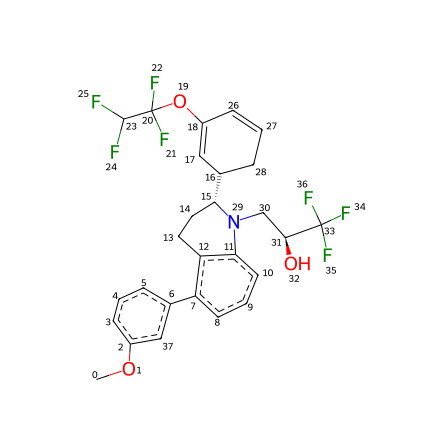 COc1cccc(-c2cccc3c2CC[C@H](C2C=C(OC(F)(F)C(F)F)C=CC2)N3C[C@H](O)C(F)(F)F)c1